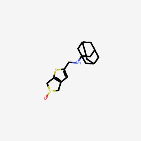 [O-][S+]1Cc2cc(CNC34CC5CC(CC(C5)C3)C4)sc2C1